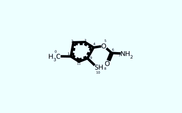 Cc1ccc(OC(N)=O)c(S)c1